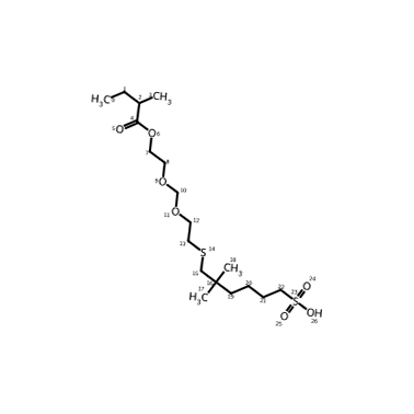 CCC(C)C(=O)OCCOCOCCSCC(C)(C)CCCCS(=O)(=O)O